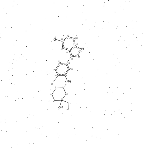 CCC1(O)CCC[C@H](Nc2nc(-c3c[nH]c4ncc(Cl)cc34)ncc2F)C1